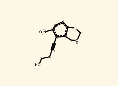 O=[N+]([O-])c1ccc2c(c1C#CCCO)COCO2